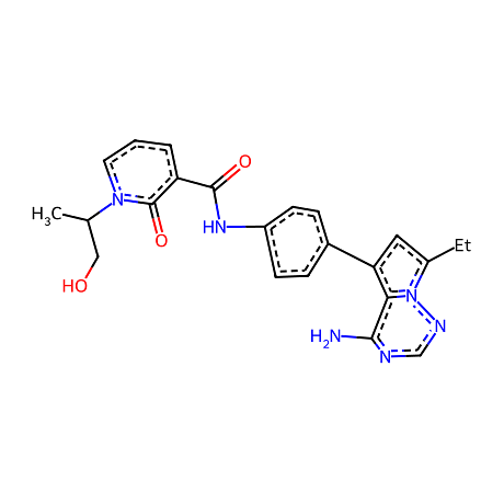 CCc1cc(-c2ccc(NC(=O)c3cccn(C(C)CO)c3=O)cc2)c2c(N)ncnn12